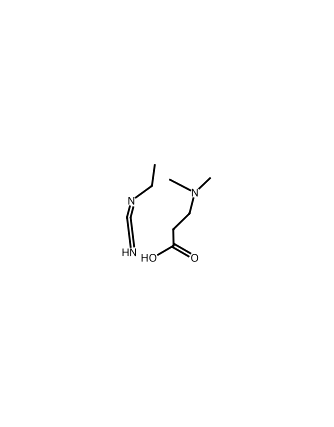 CCN=C=N.CN(C)CCC(=O)O